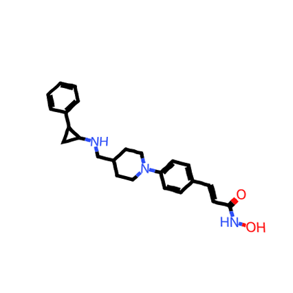 O=C(C=Cc1ccc(N2CCC(CNC3CC3c3ccccc3)CC2)cc1)NO